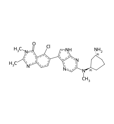 Cc1nc2ccc(-c3c[nH]c4nc(N(C)[C@@H]5CCC[C@@H](N)C5)cnc34)c(Cl)c2c(=O)n1C